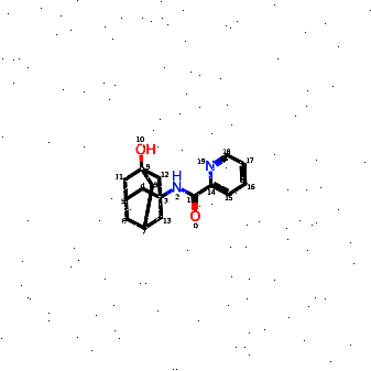 O=C(NC12CC3CC(CC(O)(C3)C1)C2)c1ccccn1